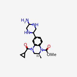 COC(=O)N1c2ccc(C3CNC(N)CN3)cc2N(C(=O)C2CC2)C[C@@H]1C